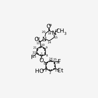 CCc1cc(O)c(Oc2ccc(C(=O)N3CCN(C)C(=O)C3)cc2F)cc1F